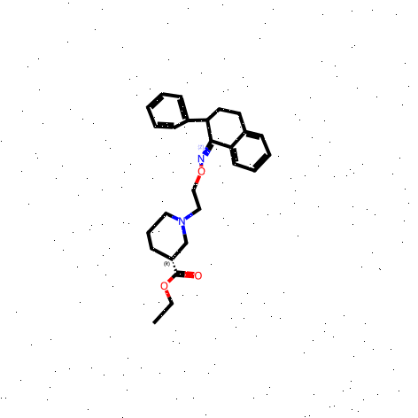 CCOC(=O)[C@@H]1CCCN(CCO/N=C2\c3ccccc3CCC2c2ccccc2)C1